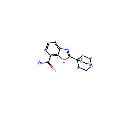 NC(=O)c1cccc2nc(C34CCN(CC3)CC4)oc12